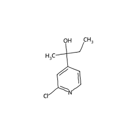 CCC(C)(O)c1ccnc(Cl)c1